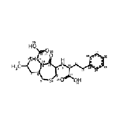 CC(S)CC1CSCC(NC(CCc2ccccc2)C(=O)O)C(=O)N1CC(=O)O